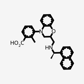 Cc1c(C(=O)O)cccc1N1CC(CN[C@H](C)c2cccc3ccccc23)Oc2ccccc21